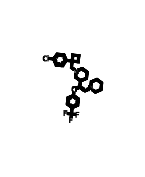 FC(F)(F)c1ccc(OC(CN2CCCCC2)C2CCCN(CC3(c4ccc(Cl)cc4)CCC3)C2)cc1